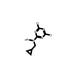 CCCN(CC1CC1)c1nc(Cl)nc(Cl)n1